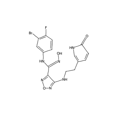 O=c1ccc(CCNc2nonc2C(=NO)Nc2ccc(F)c(Br)c2)c[nH]1